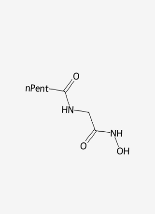 CCCCCC(=O)NCC(=O)NO